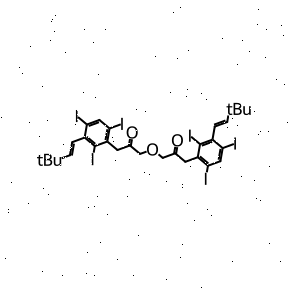 CC(C)(C)C=Cc1c(I)cc(I)c(CC(=O)COCC(=O)Cc2c(I)cc(I)c(C=CC(C)(C)C)c2I)c1I